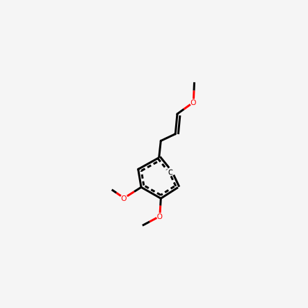 COC=CCc1ccc(OC)c(OC)c1